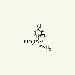 CCOC(=O)C(CCN)c1ccc(Cl)cc1.Cl